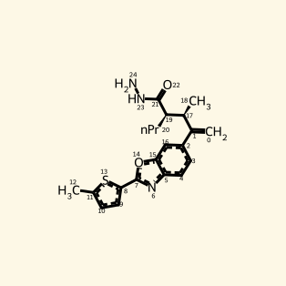 C=C(c1ccc2nc(-c3ccc(C)s3)oc2c1)[C@H](C)[C@@H](CCC)C(=O)NN